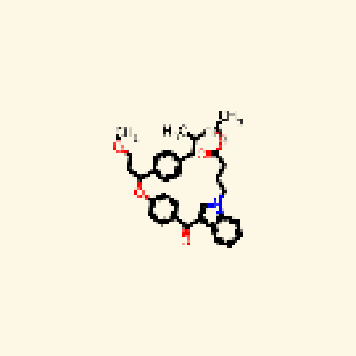 CCOC(=O)CCCn1cc(C(=O)c2ccc(OC(CCOC)c3ccc(CC(C)C)cc3)cc2)c2ccccc21